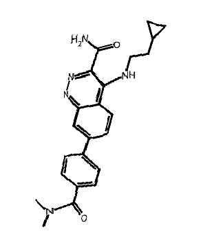 CN(C)C(=O)c1ccc(-c2ccc3c(NCCC4CC4)c(C(N)=O)nnc3c2)cc1